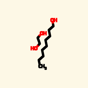 CCCCCCCCCO.OCCO